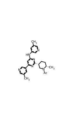 CC(=O)N1C[C@H](c2nc(Nc3cncc(C)c3)cc(-c3cncc(C)c3)n2)CC[C@@H]1C